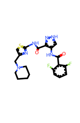 O=C(Nc1nc(CN2CCCCC2)cs1)c1n[nH]cc1NC(=O)c1c(F)cccc1F